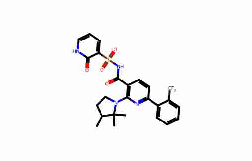 CC1CCN(c2nc(-c3ccccc3C(F)(F)F)ccc2C(=O)NS(=O)(=O)c2ccc[nH]c2=O)C1(C)C